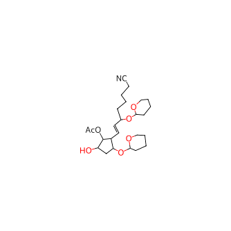 CC(=O)OC1C(O)CC(OC2CCCCO2)C1C=CC(CCCCC#N)OC1CCCCO1